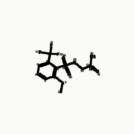 CSc1cccc(C(F)(F)F)c1S(=O)(=O)OC[PH](=O)O